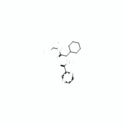 C[C@@H](NC(=O)[C@@H](NC(=O)c1cnccn1)C1CCCCC1)C(C)(C)C